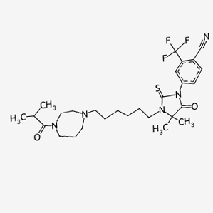 CC(C)C(=O)N1CCCN(CCCCCCN2C(=S)N(c3ccc(C#N)c(C(F)(F)F)c3)C(=O)C2(C)C)CC1